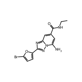 CCNC(=O)c1cc(N)n2nc(-c3ccc(Br)o3)nc2c1